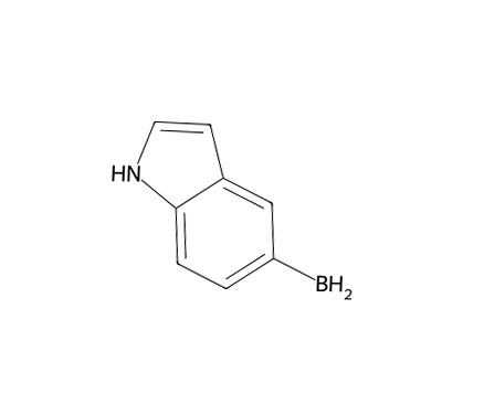 Bc1ccc2[nH]ccc2c1